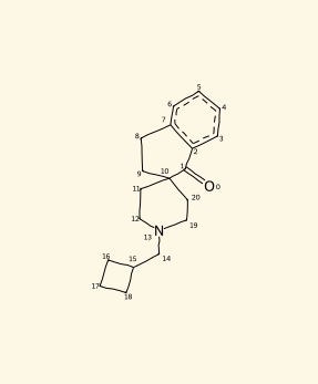 O=C1c2ccccc2CCC12CCN(CC1CCC1)CC2